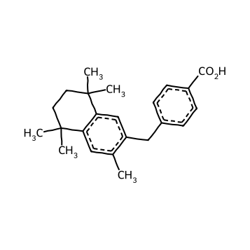 Cc1cc2c(cc1Cc1ccc(C(=O)O)cc1)C(C)(C)CCC2(C)C